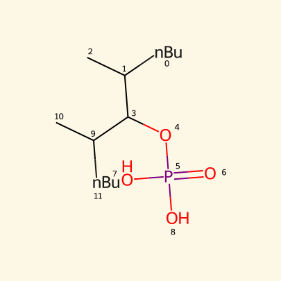 CCCCC(C)C(OP(=O)(O)O)C(C)CCCC